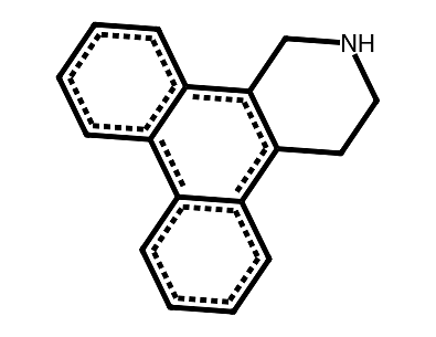 c1ccc2c(c1)c1c(c3ccccc32)CNCC1